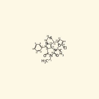 CCn1c(=O)c2c(-c3ccccc3)n3c(c2n(CC)c1=O)C(c1ccc(Cl)o1)SCC3